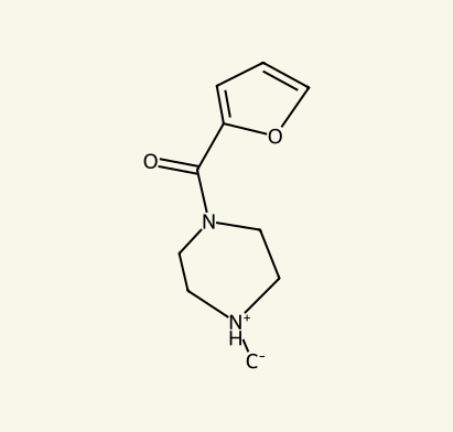 [CH2-][NH+]1CCN(C(=O)c2ccco2)CC1